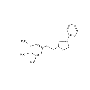 Cc1cc(OCC2CN(c3ccccc3)CO2)cc(C)c1C